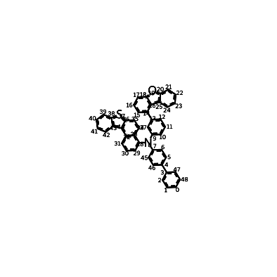 c1ccc(-c2ccc(N(c3cccc(-c4cccc5oc6ccccc6c45)c3)c3cccc4c3ccc3sc5ccccc5c34)cc2)cc1